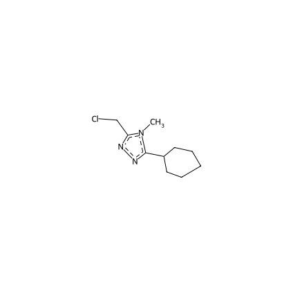 Cn1c(CCl)nnc1C1CCCCC1